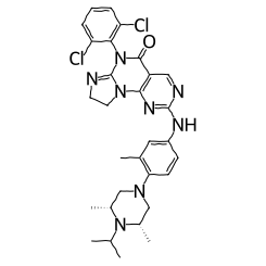 Cc1cc(Nc2ncc3c(n2)N2CCN=C2N(c2c(Cl)cccc2Cl)C3=O)ccc1N1C[C@@H](C)N(C(C)C)[C@@H](C)C1